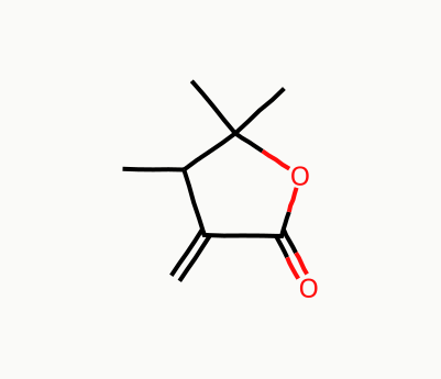 C=C1C(=O)OC(C)(C)C1C